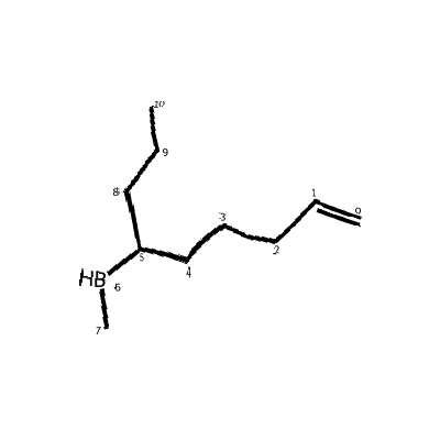 C=CCCCC(BC)CCC